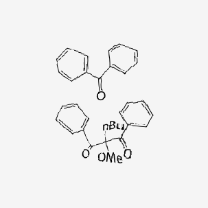 CCCCC(OC)(C(=O)c1ccccc1)C(=O)c1ccccc1.O=C(c1ccccc1)c1ccccc1